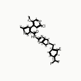 COc1cnc(Cl)cc1-c1cc(C)ncc1C(=O)Nc1nc2c(s1)CN(Cc1ccc(C(F)F)cc1F)C2